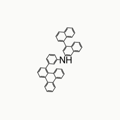 c1cc(Nc2cc(-c3cccc4ccccc34)c3ccccc3c2)cc(-c2cccc3c4ccccc4c4ccccc4c23)c1